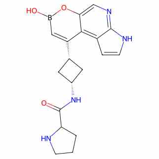 O=C(N[C@H]1C[C@@H](C2=CB(O)Oc3cnc4[nH]ccc4c32)C1)C1CCCN1